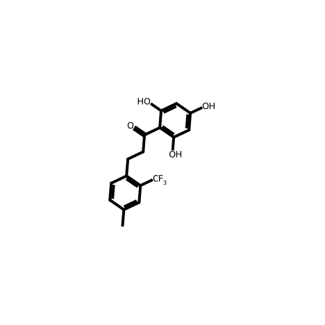 Cc1ccc(CCC(=O)c2c(O)cc(O)cc2O)c(C(F)(F)F)c1